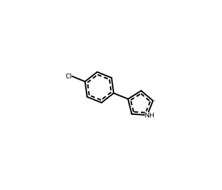 Clc1ccc(-c2c[c][nH]c2)cc1